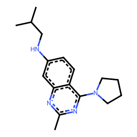 Cc1nc(N2CCCC2)c2ccc(NCC(C)C)cc2n1